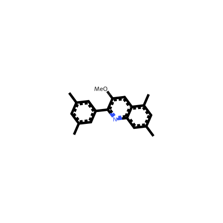 COc1cc2c(C)cc(C)cc2nc1-c1cc(C)cc(C)c1